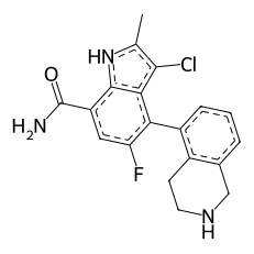 Cc1[nH]c2c(C(N)=O)cc(F)c(-c3cccc4c3CCNC4)c2c1Cl